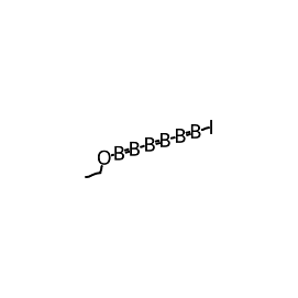 CCOB=BB=BB=BI